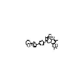 Cc1c(C)c([N+](=O)[O-])c(CNc2ccc(-c3ccn(C4CCCCO4)n3)cc2)c2c1OC(C)(C)C2